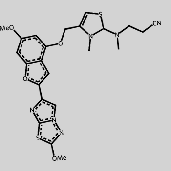 COc1cc(OCC2=CSC(N(C)CCC#N)N2C)c2cc(-c3cn4nc(OC)sc4n3)oc2c1